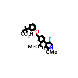 COc1cc(-c2ccc(COc3cccc(C(C)(C)CC(=O)O)c3)cc2[C@H](OC)C(C)(C)C)c(F)cn1